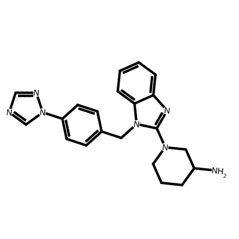 NC1CCCN(c2nc3ccccc3n2Cc2ccc(-n3cncn3)cc2)C1